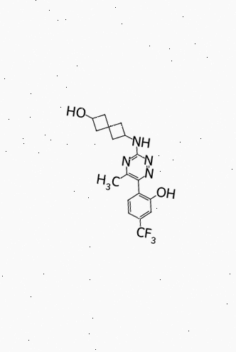 Cc1nc(NC2CC3(CC(O)C3)C2)nnc1-c1ccc(C(F)(F)F)cc1O